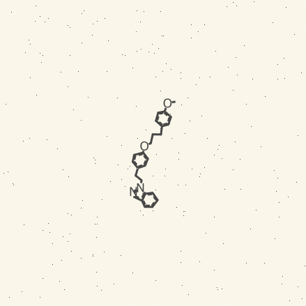 COc1ccc(CCCOc2ccc(CCn3ncc4ccccc43)cc2)cc1